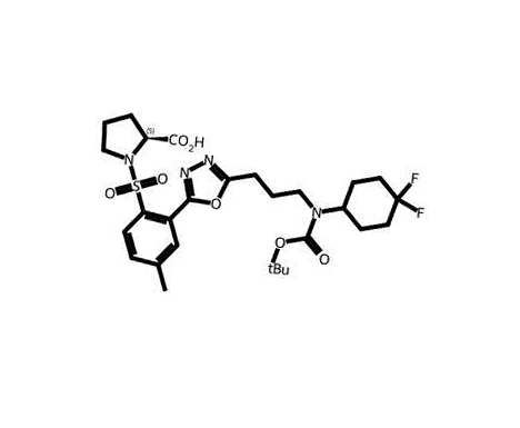 Cc1ccc(S(=O)(=O)N2CCC[C@H]2C(=O)O)c(-c2nnc(CCCN(C(=O)OC(C)(C)C)C3CCC(F)(F)CC3)o2)c1